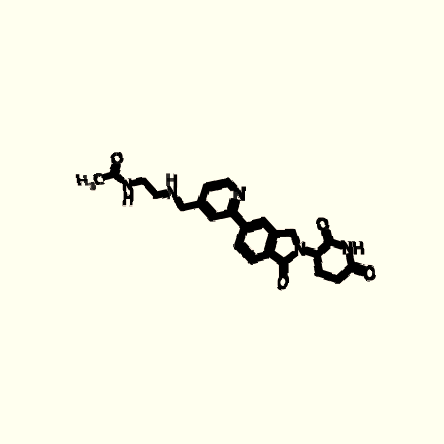 CC(=O)NCCNCc1ccnc(-c2ccc3c(c2)CN(C2CCC(=O)NC2=O)C3=O)c1